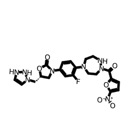 O=C(c1ccc([N+](=O)[O-])o1)N1CCN(c2ccc(N3C[C@H](CN4C=CNN4)OC3=O)cc2F)CCN1